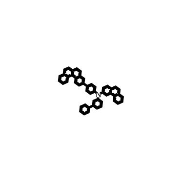 c1ccc(-c2cccc(N(c3ccc(-c4ccc5c(ccc6ccc7ccccc7c65)c4)cc3)c3ccc4ccc5ccccc5c4c3)c2)cc1